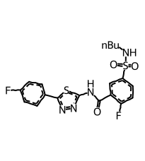 CCCCNS(=O)(=O)c1ccc(F)c(C(=O)Nc2nnc(-c3ccc(F)cc3)s2)c1